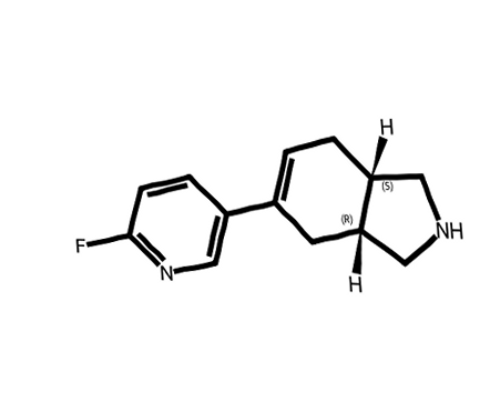 Fc1ccc(C2=CC[C@@H]3CNC[C@@H]3C2)cn1